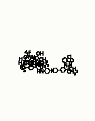 Cc1ncsc1-c1ccc([C@H](CC(=O)NC2CCC(N3CCC(c4ccc5c(c4)-n4c(nc(=O)c6c(Cl)cccc64)C5(C)C)CC3)CC2)NC(=O)[C@@]2(C(C)(C)C)C[C@@H](O)CN2C(=O)[C@@H](NC(=O)C2(F)CC2)C(C)(C)C)cc1